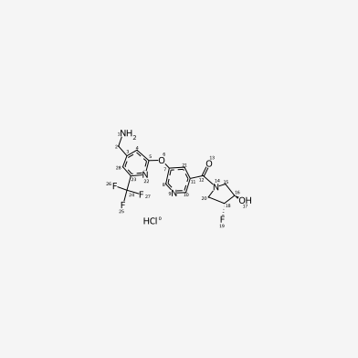 Cl.NCc1cc(Oc2cncc(C(=O)N3C[C@@H](O)[C@H](F)C3)c2)nc(C(F)(F)F)c1